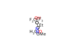 CCc1cc(C(=O)N(C)OC)ncc1-c1ccc(C(O)(C(F)(F)F)C(F)(F)F)cc1